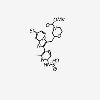 CCc1ccn2c(CC3CN(C(=O)OC)CCO3)c(-c3ncc(N[SH](=O)=O)nc3C)nc2c1